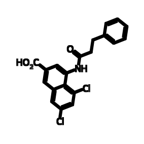 O=C(CCc1ccccc1)Nc1cc(C(=O)O)cc2cc(Cl)cc(Cl)c12